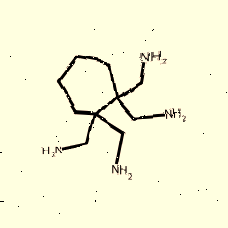 NCC1(CN)CCCCC1(CN)CN